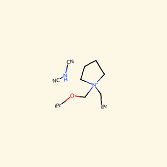 CC(C)C[N+]1(COC(C)C)CCCC1.N#CNC#N